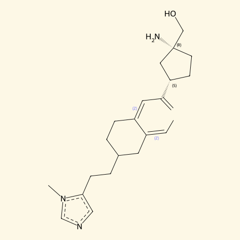 C=C(/C=C1/CCC(CCc2cncn2C)C/C1=C/C)[C@H]1CC[C@](N)(CO)C1